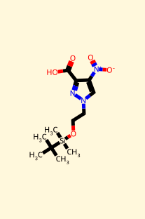 CC(C)(C)[Si](C)(C)OCCn1cc([N+](=O)[O-])c(C(=O)O)n1